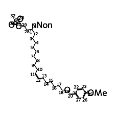 CCCCCCCCCC(CCCCCCCCC/C=C\CCCCCCOCc1ccc(OC)cc1)CCOS(C)(=O)=O